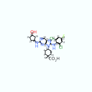 CC1(C(=O)O)CCC(n2c(Nc3c(Cl)cc(F)cc3Cl)nc3cnc(N[C@H]4CC[C@H](O)C4)nc32)CC1